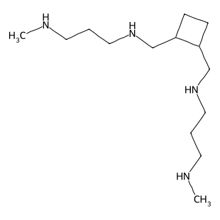 CNCCCNCC1CCC1CNCCCNC